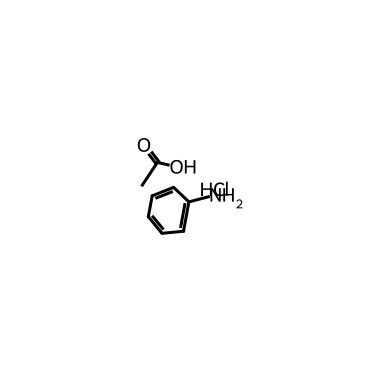 CC(=O)O.Cl.Nc1ccccc1